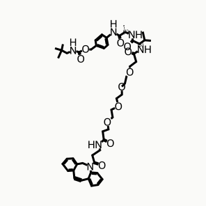 CC(C)[C@H](NC(=O)CCOCCOCCOCCOCCC(=O)NCCC(=O)N1Cc2ccccc2C#Cc2ccccc21)C(=O)N[C@@H](C)C(=O)Nc1ccc(COC(=O)NCC(C)(C)C)cc1